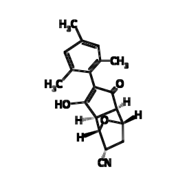 Cc1cc(C)c(C2=C(O)[C@@H]3[C@@H]4O[C@@H](C[C@@H]4C#N)[C@@H]3C2=O)c(C)c1